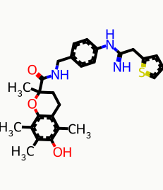 Cc1c(C)c2c(c(C)c1O)CCC(C)(C(=O)NCc1ccc(NC(=N)Cc3cccs3)cc1)O2